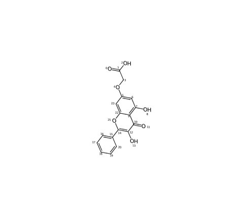 O=C(O)COc1cc(O)c2c(=O)c(O)c(-c3ccccc3)oc2c1